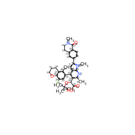 Cc1nc2c(cc(-c3ccc4c(c3)CCN(C)C4=O)n2C)c(-c2cc(F)c3c(c2C)CCCO3)c1[C@H](OC(C)(C)C)C(=O)O